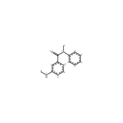 CNc1cc(C(=O)N(C)c2ccccc2)ncn1